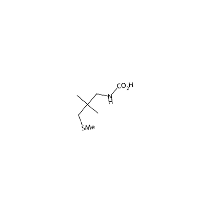 CSCC(C)(C)CNC(=O)O